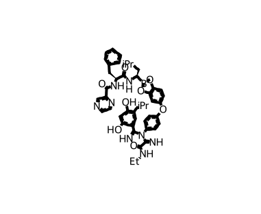 CCNC(=O)C(=N)N(C(=N)c1cc(C(C)C)c(O)cc1O)c1ccc(Oc2ccc3c(c2)OB([C@H](CC(C)C)NC(=O)[C@H](Cc2ccccc2)NC(=O)c2cnccn2)O3)cc1